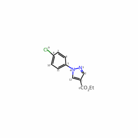 CCOC(=O)c1cnn(-c2ccc(Cl)cc2)c1